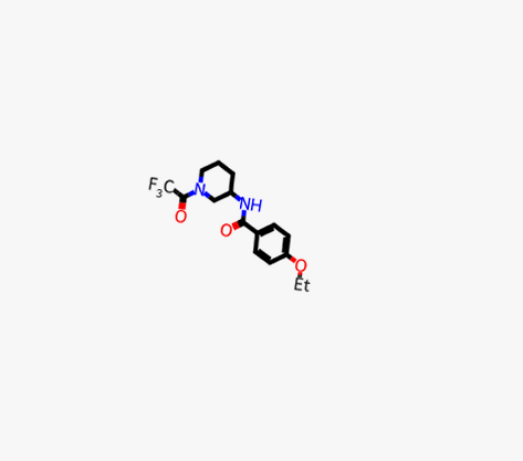 CCOc1ccc(C(=O)NC2CCCN(C(=O)C(F)(F)F)C2)cc1